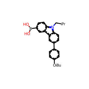 CC(C)COc1ccc(-c2ccc3c(c2)c2cc(B(O)O)ccc2n3CC(C)C)cc1